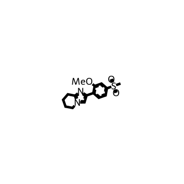 COc1cc(S(C)(=O)=O)ccc1-c1cn2c(n1)CCCC2